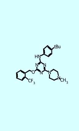 CN1CCN(c2nc(Nc3ccc(C(C)(C)C)cc3)nc(OCc3ccccc3C(F)(F)F)n2)CC1